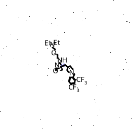 CCN(CC)CCOCCNC1=NC(=O)S/C1=C\C1CCN(Cc2ccc(C(F)(F)F)cc2C(F)(F)F)CC1